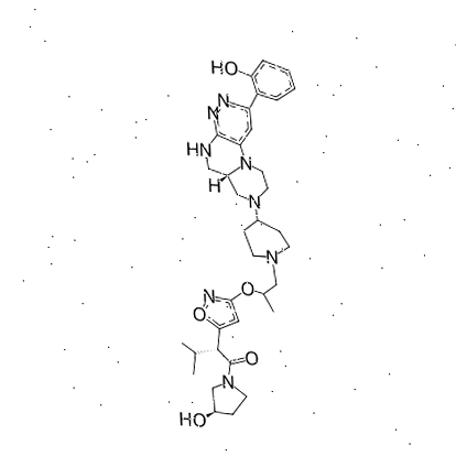 CC(CN1CCC(N2CCN3c4cc(-c5ccccc5O)nnc4NC[C@H]3C2)CC1)Oc1cc([C@H](C(=O)N2CC[C@@H](O)C2)C(C)C)on1